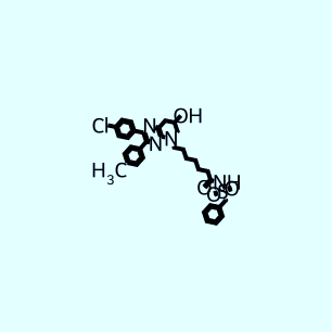 Cc1ccc(-c2nc3c(nc2-c2ccc(Cl)cc2)CC(O)CN3CCCCCCC(=O)NS(=O)(=O)Cc2ccccc2)cc1